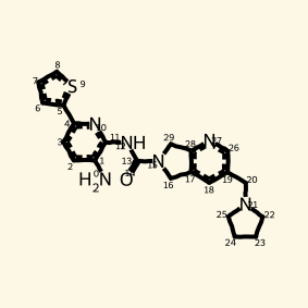 Nc1ccc(-c2cccs2)nc1NC(=O)N1Cc2cc(CN3CCCC3)cnc2C1